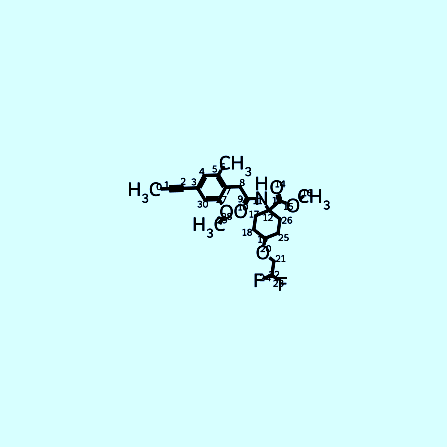 CC#Cc1cc(C)c(CC(=O)NC2(C(=O)OC)CCC(OCC(F)F)CC2)c(OC)c1